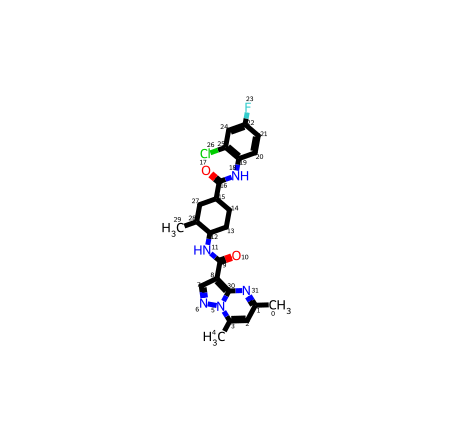 Cc1cc(C)n2ncc(C(=O)NC3CCC(C(=O)Nc4ccc(F)cc4Cl)CC3C)c2n1